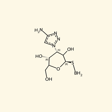 BS[C@H]1OC(CO)[C@H](O)[C@H](n2cc(N)nn2)C1O